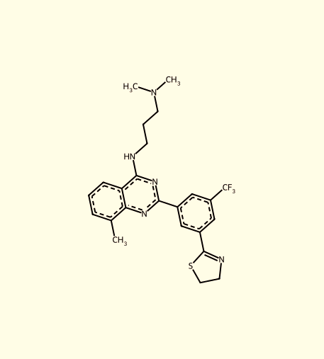 Cc1cccc2c(NCCCN(C)C)nc(-c3cc(C4=NCCS4)cc(C(F)(F)F)c3)nc12